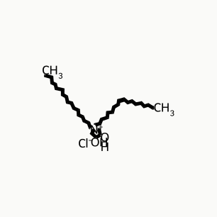 CCCCCCCC/C=C\CCCCCCCC[N+]1(CCCCCCCCCCCCCCCCCC)CC(O)C(O)C1.[Cl-]